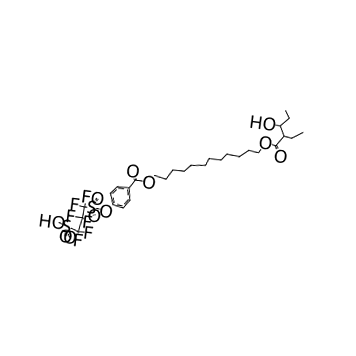 CCC(O)C(CC)C(=O)OCCCCCCCCCCCCOC(=O)c1ccc(OS(=O)(=O)C(F)(F)C(F)(F)C(F)(F)S(=O)(=O)O)cc1